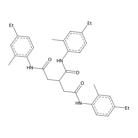 CCc1ccc(NC(=O)CC(CC(=O)Nc2ccc(CC)cc2C)C(=O)Nc2ccc(CC)cc2C)c(C)c1